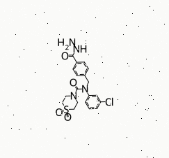 NNC(=O)c1ccc(CN(C(=O)N2CCS(=O)(=O)CC2)c2cccc(Cl)c2)cc1